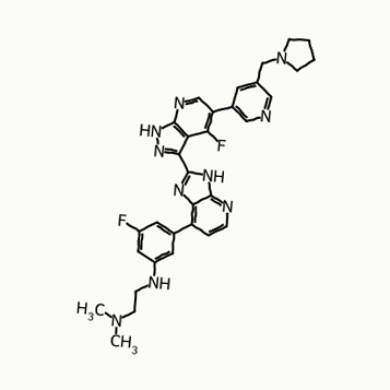 CN(C)CCNc1cc(F)cc(-c2ccnc3[nH]c(-c4n[nH]c5ncc(-c6cncc(CN7CCCC7)c6)c(F)c45)nc23)c1